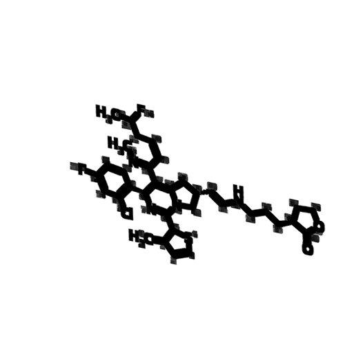 C=C1C=CSC1C1=N[C@@H](c2ccc(F)cc2Cl)C(C(/C=C\CC(C)F)=N/C)=C2C[C@H](/C=C/NCCC[C@H]3CCOC3=O)CN12